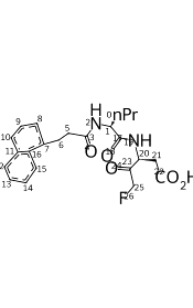 CCC[C@H](NC(=O)CCc1cccc2ccccc12)C(=O)N[C@@H](CC(=O)O)C(=O)CF